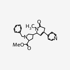 COC(=O)C1CC(C2C=C(c3ccncc3)CC(=O)N2C)CN1Cc1ccccc1